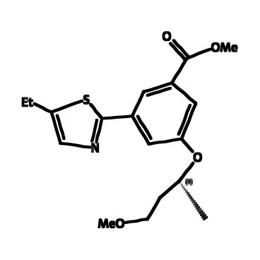 CCc1cnc(-c2cc(O[C@H](C)CCOC)cc(C(=O)OC)c2)s1